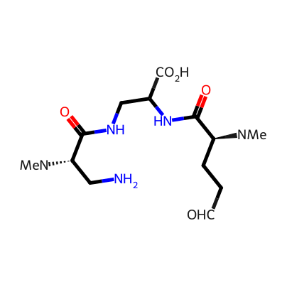 CN[C@@H](CN)C(=O)NCC(NC(=O)[C@H](CCC=O)NC)C(=O)O